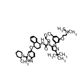 C[C@H]1CCCCN1c1nnc2ccc(O[C@@H]3CC[C@H](NC(=O)N(OC=O)c4cc(C(C)(C)C)nn4-c4cc(Cl)cc(OCCN(C)C)c4)c4ccccc43)cn12